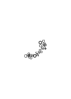 O=C(NS(=O)(=O)N1CCCCC1)c1ccc2nc(N3C4CCC45C(NCc4c(-c6c(Cl)cccc6Cl)noc4C4CC4)CC35)sc2c1